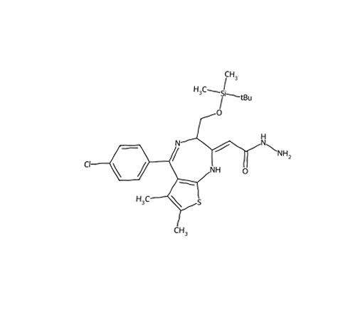 Cc1sc2c(c1C)C(c1ccc(Cl)cc1)=NC(CO[Si](C)(C)C(C)(C)C)C(=CC(=O)NN)N2